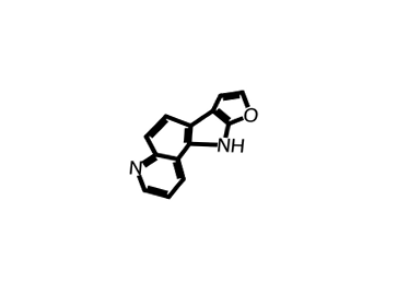 c1cnc2ccc3c4ccoc4[nH]c3c2c1